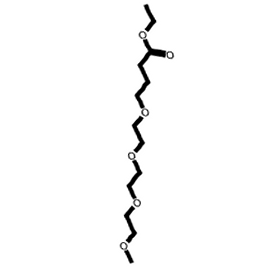 CCOC(=O)CCCOCCOCCOCCOC